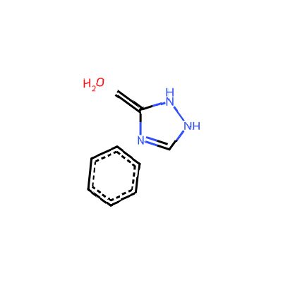 C=C1N=CNN1.O.c1ccccc1